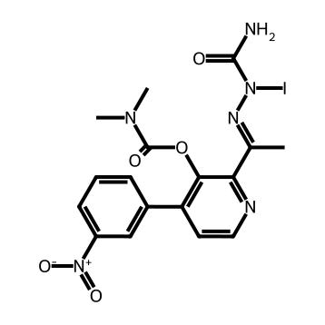 CC(=NN(I)C(N)=O)c1nccc(-c2cccc([N+](=O)[O-])c2)c1OC(=O)N(C)C